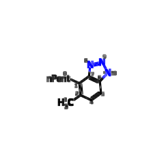 CCCCCc1c(C)ccc2c1N=N[N]2